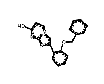 Oc1ccn2cc(-c3ccccc3OCc3ccccc3)nc2n1